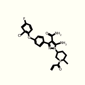 C=CC(=O)N1CC(n2nc(-c3ccc(Oc4ccc(F)cc4Cl)cc3)c(C(N)=O)c2N)CCC1C